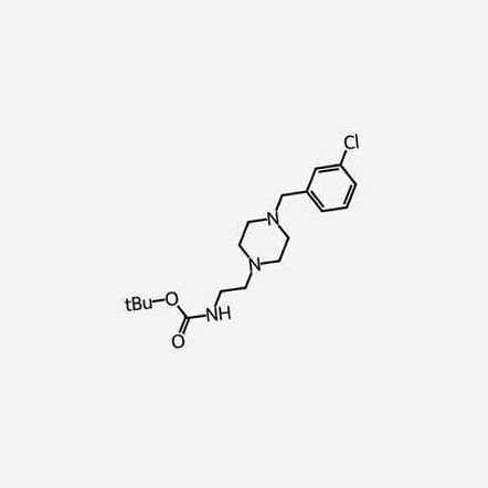 CC(C)(C)OC(=O)NCCN1CCN(Cc2cccc(Cl)c2)CC1